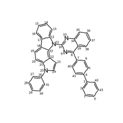 c1ccc(-c2ccc(-c3nc(-n4c5ccccc5c5ccc6c(ccn6-c6ccccc6)c54)nc4ccccc34)cc2)cc1